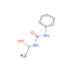 CC(O)NC(=O)Nc1ccccc1